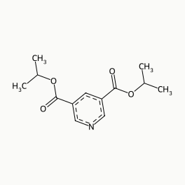 CC(C)OC(=O)c1cncc(C(=O)OC(C)C)c1